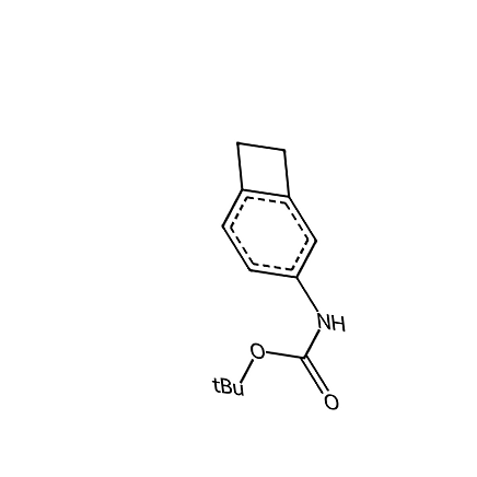 CC(C)(C)OC(=O)Nc1ccc2c(c1)CC2